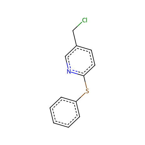 ClCc1ccc(Sc2ccccc2)nc1